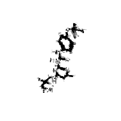 Cc1cc(NCC(F)(F)CO)nc(NC(=O)Nc2ccc(OC(F)(F)F)cc2)n1